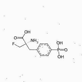 N[C@@](CF)(Cc1ccc(P(=O)(O)O)cc1)C(=O)O